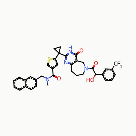 CN(Cc1ccc2ccccc2c1)C(=O)c1csc(C2(c3nc4c(c(=O)[nH]3)CN(C(=O)C(O)c3cccc(C(F)(F)F)c3)CCC4)CC2)c1